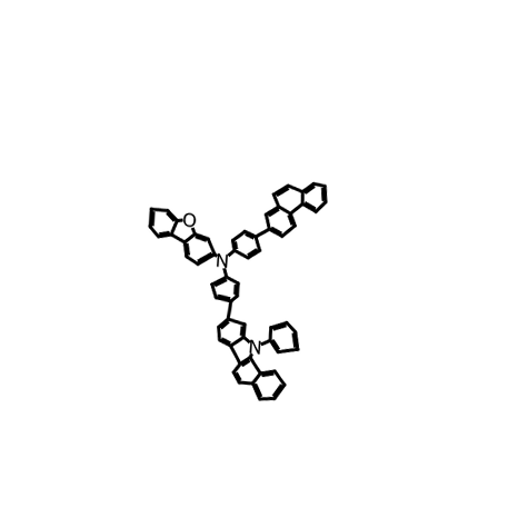 c1ccc(-n2c3cc(-c4ccc(N(c5ccc(-c6ccc7c(ccc8ccccc87)c6)cc5)c5ccc6c(c5)oc5ccccc56)cc4)ccc3c3ccc4ccccc4c32)cc1